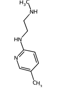 CNCCNc1ccc(C)cn1